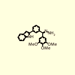 COc1cc(/C(=N\N)c2cccc(-c3cc4ccccc4[nH]3)c2)cc(OC)c1OC